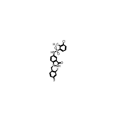 Cc1c(Cl)cccc1S(=O)(=O)Nc1ccc2c(c1)c(=O)[nH]n2Cc1ccc(F)cc1F